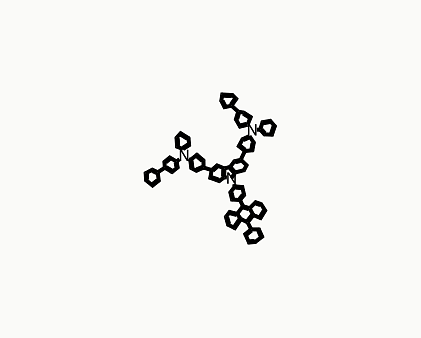 C1=C(c2ccc(N(c3ccccc3)c3ccc(-c4ccccc4)cc3)cc2)CCc2c1c1cc(-c3ccc(N(c4ccccc4)c4ccc(-c5ccccc5)cc4)cc3)ccc1n2-c1ccc(-c2c3ccccc3c(-c3ccccc3)c3ccccc23)cc1